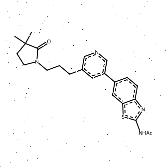 CC(=O)Nc1nc2ccc(-c3cncc(CCCN4CCC(C)(C)C4=O)c3)cc2s1